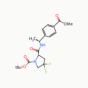 COC(=O)c1ccc([C@H](C)NC(=O)[C@H]2CC(F)(F)CN2C(=O)OC(C)(C)C)cc1